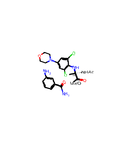 COC(=O)[C@](C)(NC(C)=O)Nc1c(Cl)cc(N2CCOCC2)cc1Cl.NC(=O)c1cccc(N)c1